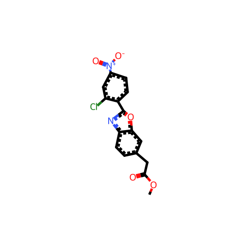 COC(=O)Cc1ccc2nc(-c3ccc([N+](=O)[O-])cc3Cl)oc2c1